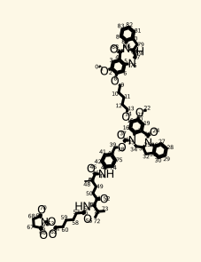 COc1cc2c(cc1OCCCCCOc1cc3c(cc1OC)C(=O)N1c4ccccc4CC1CN3C(=O)OCc1ccc(NC(=O)[C@H](C)CCC(=O)[C@@H](NC(=O)CCCCC(=O)ON3C(=O)CCC3=O)C(C)C)cc1)N=C[C@@H]1Cc3ccccc3N1C2=O